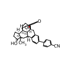 C[C@]12C[C@@H]3c4ccc(-c5ccc(C#N)cc5)cc4C[C@]45CCC(=O)C=C4CC[C@@H]([C@@H]1CC[C@@H]2O)[C@]35O